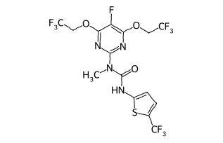 CN(C(=O)Nc1ccc(C(F)(F)F)s1)c1nc(OCC(F)(F)F)c(F)c(OCC(F)(F)F)n1